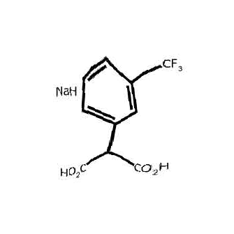 O=C(O)C(C(=O)O)c1cccc(C(F)(F)F)c1.[NaH]